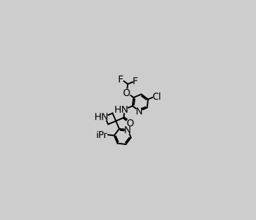 CC(C)c1cccnc1C1(C(=O)Nc2ncc(Cl)cc2OC(F)F)CNC1